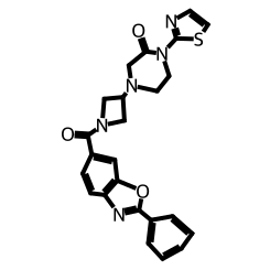 O=C(c1ccc2nc(-c3ccccc3)oc2c1)N1CC(N2CCN(c3nccs3)C(=O)C2)C1